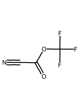 N#CC(=O)OC(F)(F)F